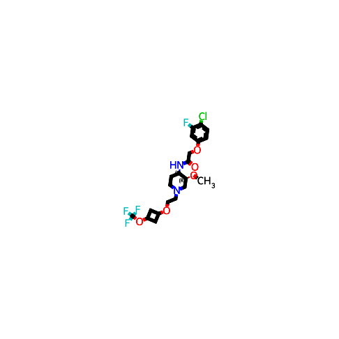 CO[C@@H]1CN(CCOC2CC(OC(F)(F)F)C2)CC[C@@H]1NC(=O)COc1ccc(Cl)c(F)c1